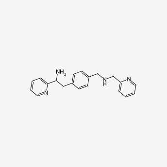 NC(Cc1ccc(CNCc2ccccn2)cc1)c1ccccn1